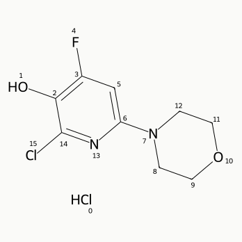 Cl.Oc1c(F)cc(N2CCOCC2)nc1Cl